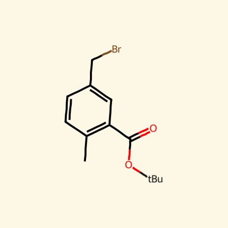 Cc1ccc(CBr)cc1C(=O)OC(C)(C)C